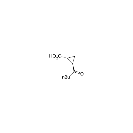 CCCCC(=O)[C@@H]1C[C@H]1C(=O)O